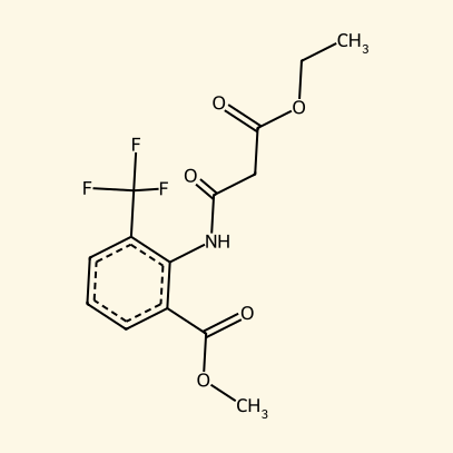 CCOC(=O)CC(=O)Nc1c(C(=O)OC)cccc1C(F)(F)F